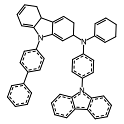 C1=CCC2C3=CCC(N(C4=CCCC=C4)c4ccc(-n5c6ccccc6c6ccccc65)cc4)C=C3N(c3ccc(-c4ccccc4)cc3)C2=C1